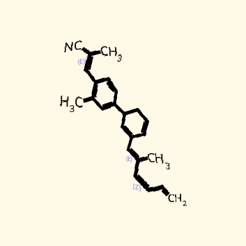 C=C/C=C\C(C)=C\C1=CC(c2ccc(/C=C(\C)C#N)c(C)c2)CC=C1